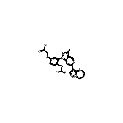 Cc1nn(-c2cc(SCC(=O)O)ccc2OC(F)F)c2cc(-c3cnn4cccnc34)ncc12